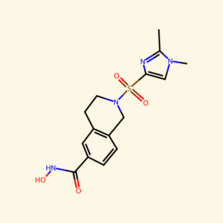 Cc1nc(S(=O)(=O)N2CCc3cc(C(=O)NO)ccc3C2)cn1C